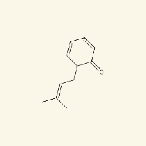 CC(C)=CCC1C=CC=[C]C1=O